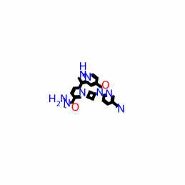 CN(N)C(=O)c1ccc(C2=C3C=C(C(=O)N(c4ccc(C#N)cn4)C4CCC4)C=CN3NC2)nc1